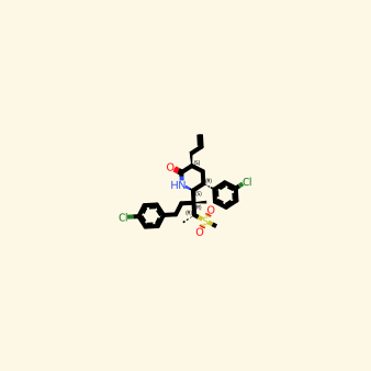 C=CC[C@H]1C[C@H](c2cccc(Cl)c2)[C@@H]([C@@](C)(CCc2ccc(Cl)cc2)[C@@H](C)S(C)(=O)=O)NC1=O